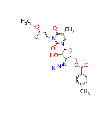 CCOC(=O)/C=C/n1c(=O)c(C)cn([C@@H]2O[C@H](COC(=O)c3ccc(C)cc3)C(N=[N+]=[N-])[C@H]2O)c1=O